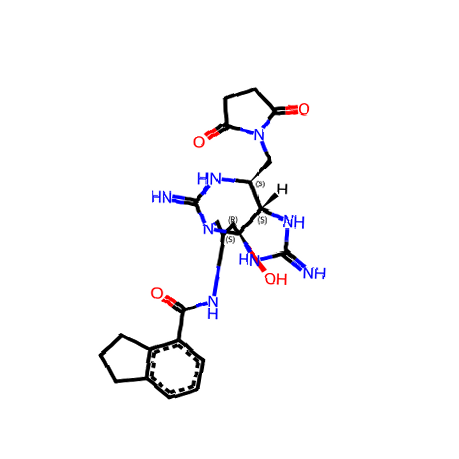 N=C1N[C@H]2[C@H](CN3C(=O)CCC3=O)NC(=N)N3CC(NC(=O)c4cccc5c4CCC5)[C@@H](O)[C@]23N1